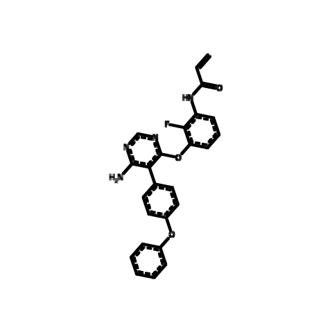 C=CC(=O)Nc1cccc(Oc2ncnc(N)c2-c2ccc(Oc3ccccc3)cc2)c1F